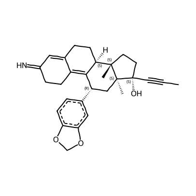 CC#C[C@]1(O)CC[C@@]2(C)[C@@H]3CCC4=CC(=N)CCC4=C3[C@@H](c3ccc4c(c3)OCO4)C[C@@]21C